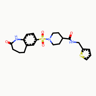 O=C1CCCc2cc(S(=O)(=O)N3CCC(C(=O)NCc4cccs4)CC3)ccc2N1